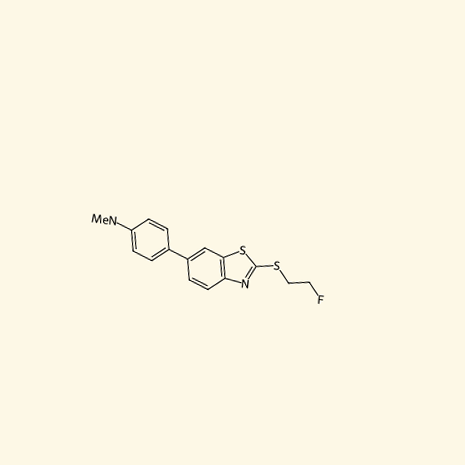 CNc1ccc(-c2ccc3nc(SCCF)sc3c2)cc1